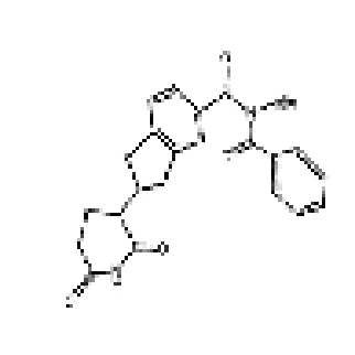 CCCCN(C(=O)c1ccccc1)C(=O)c1ccc2c(c1)CN(C1CCC(=O)NC1=O)C2